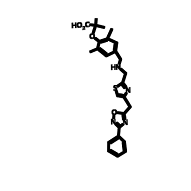 Cc1cc(CNCc2nc(Cc3nc(-c4ccccc4)no3)cs2)cc(C)c1OC(C)(C)C(=O)O